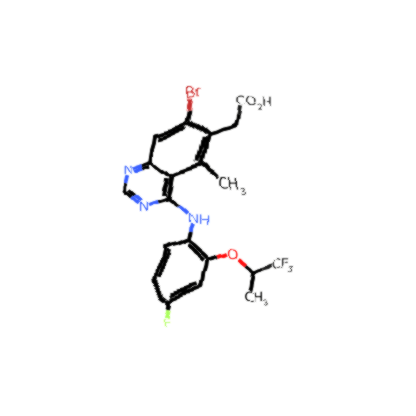 Cc1c(CC(=O)O)c(Br)cc2ncnc(Nc3ccc(F)cc3OC(C)C(F)(F)F)c12